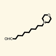 O=CCCCCCCCCCN1CCOCC1